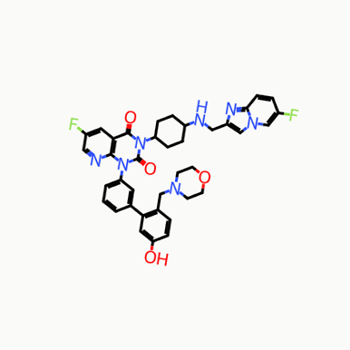 O=c1c2cc(F)cnc2n(-c2cccc(-c3cc(O)ccc3CN3CCOCC3)c2)c(=O)n1C1CCC(NCc2cn3cc(F)ccc3n2)CC1